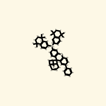 CC1(C)CCC(C)(C)c2cc(N(c3ccc4c(c3)Oc3ccc(-c5ccccc5)cc3C43C4CC5CC6CC3C64C5)c3ccc4c(c3)C(C)(C)CCC4(C)C)ccc21